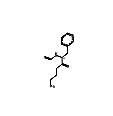 CCCCC(=O)[C@H](Cc1ccccc1)NC=O